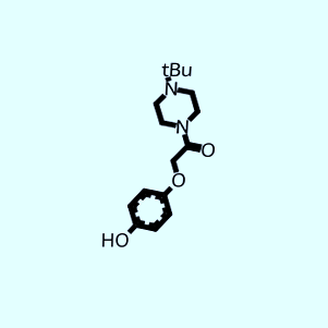 CC(C)(C)N1CCN(C(=O)COc2ccc(O)cc2)CC1